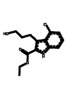 CCOC(=O)c1[nH]c2cccc(Cl)c2c1CCCO